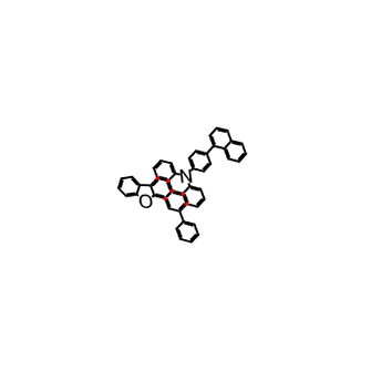 c1ccc(-c2ccc(-c3ccccc3N(c3ccc(-c4cccc5ccccc45)cc3)c3ccccc3-c3ccc4c(c3)oc3ccccc34)cc2)cc1